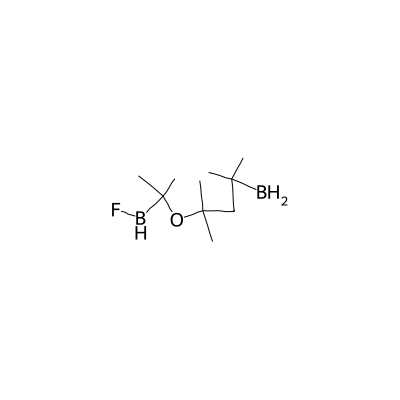 BC(C)(C)CC(C)(C)OC(C)(C)BF